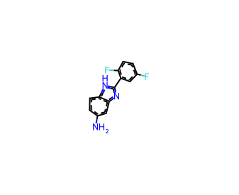 Nc1ccc2[nH]c(-c3cc(F)ccc3F)nc2c1